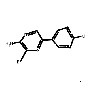 Nc1ncc(-c2ccc(Cl)cc2)nc1Br